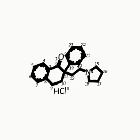 Cl.O=C1c2ccccc2CCC1(CCN1CCCC1)c1ccccc1